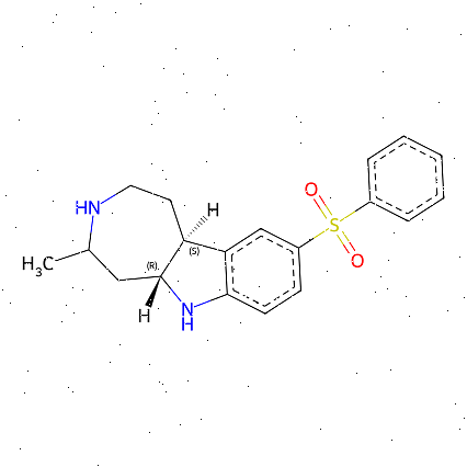 CC1C[C@H]2Nc3ccc(S(=O)(=O)c4ccccc4)cc3[C@@H]2CCN1